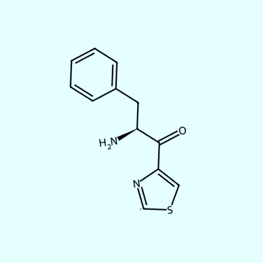 N[C@@H](Cc1ccccc1)C(=O)c1cs[c]n1